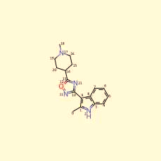 Cc1[nH]c2ccccc2c1-c1noc(C2CCN(C)CC2)n1